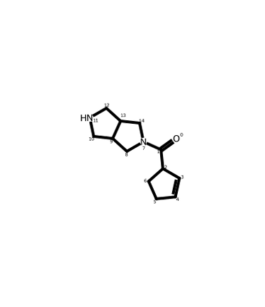 O=C(C1C=CCC1)N1CC2CNCC2C1